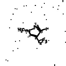 Cn1cc(C(F)(F)F)c(I)n1